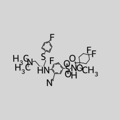 COC1(C(=O)NS(=O)(=O)c2cc(F)c(N[C@H](CCN(C)C)CSc3ccc(F)cc3)c(C#N)c2)CCC(F)(F)CC1